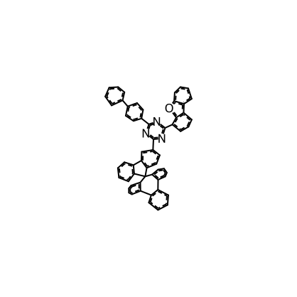 c1ccc(-c2ccc(-c3nc(-c4ccc5c(c4)-c4ccccc4C54c5ccccc5-c5ccccc5-c5ccccc54)nc(-c4cccc5c4oc4ccccc45)n3)cc2)cc1